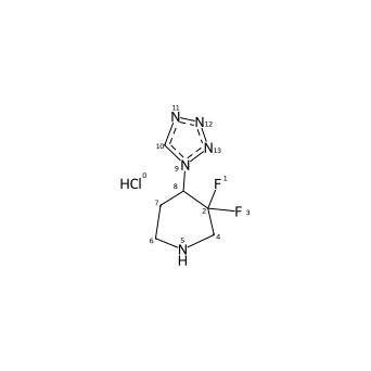 Cl.FC1(F)CNCCC1n1cnnn1